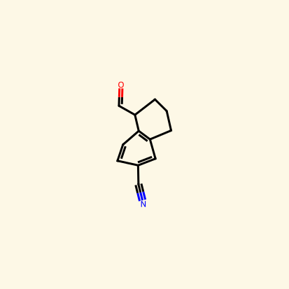 N#Cc1ccc2c(c1)CCCC2C=O